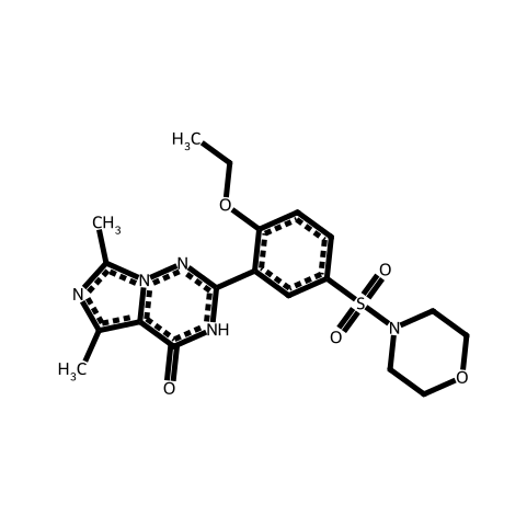 CCOc1ccc(S(=O)(=O)N2CCOCC2)cc1-c1nn2c(C)nc(C)c2c(=O)[nH]1